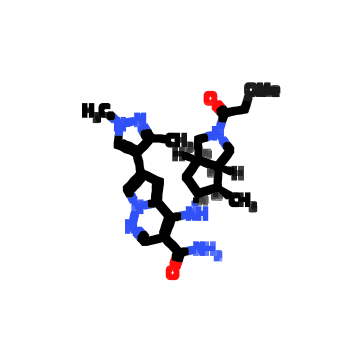 COCC(=O)N1C[C@H]2C[C@@H](Nc3c(C(N)=O)cnn4cc(-c5cn(C)nc5C)cc34)[C@H](C)[C@H]2C1